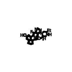 C#Cc1cccc2cc(O)cc(-c3nc4c5c(ncnc5c3F)N3C[C@@H](CC)NC[C@H]3[C@H](C)O4)c12